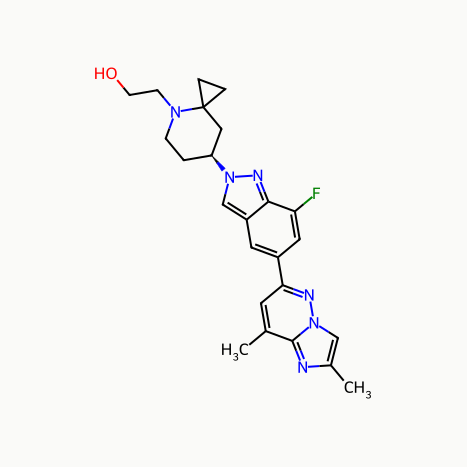 Cc1cn2nc(-c3cc(F)c4nn([C@H]5CCN(CCO)C6(CC6)C5)cc4c3)cc(C)c2n1